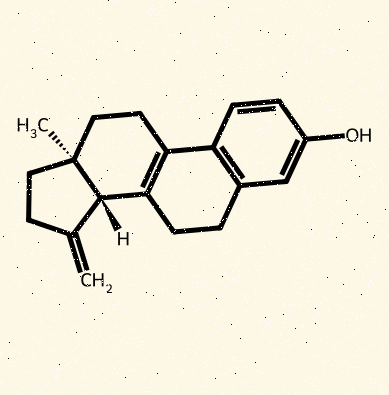 C=C1CC[C@@]2(C)CCC3=C(CCc4cc(O)ccc43)[C@H]12